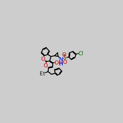 CCC(Cc1ccccc1)c1cc(O)c(C(c2ccccc2)C2CC2NS(=O)(=O)c2ccc(Cl)cc2)c(=O)o1